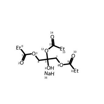 CCC(=O)OCC(O)(COC(=O)CC)OC(=O)CC.[NaH]